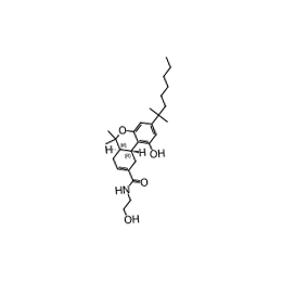 CCCCCCC(C)(C)c1cc(O)c2c(c1)OC(C)(C)[C@@H]1CC=C(C(=O)NCCO)C[C@@H]21